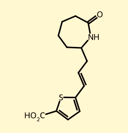 O=C1CCCCC(C/C=C/c2ccc(C(=O)O)s2)N1